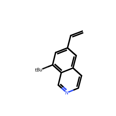 C=Cc1cc(C(C)(C)C)c2cnccc2c1